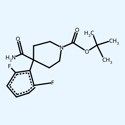 CC(C)(C)OC(=O)N1CCC(C(N)=O)(c2c(F)cccc2F)CC1